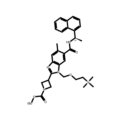 Cc1cc2nc(C3CN(C(=O)OC(C)(C)C)C3)n(COCC[Si](C)(C)C)c2cc1C(=O)N[C@H](C)c1cccc2ccccc12